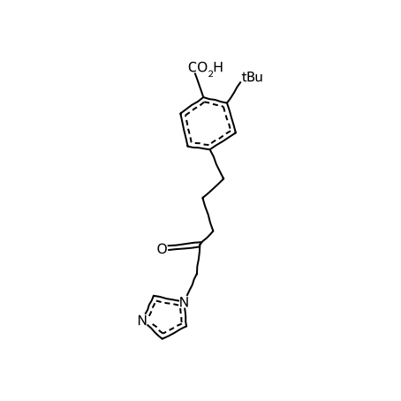 CC(C)(C)c1cc(CCCC(=O)Cn2ccnc2)ccc1C(=O)O